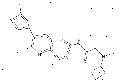 CN(CC(=O)Nc1cc2cc(-c3cnn(C)c3)cnc2cn1)C1CCC1